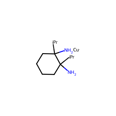 CC(C)C1(N)CCCCC1(N)C(C)C.[Cu]